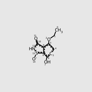 CCOc1ccc(O)c2c1c(=O)[nH][s+]2[O-]